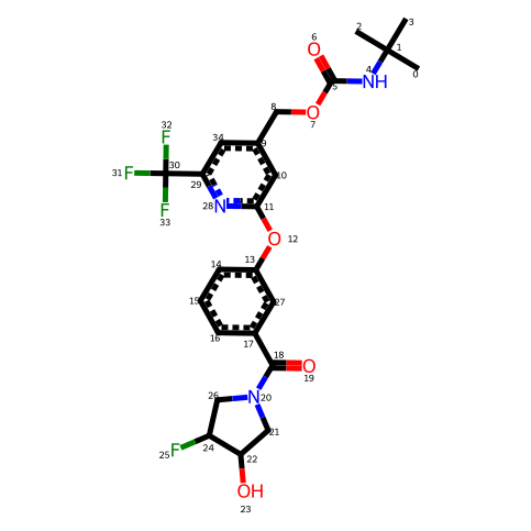 CC(C)(C)NC(=O)OCc1cc(Oc2cccc(C(=O)N3CC(O)C(F)C3)c2)nc(C(F)(F)F)c1